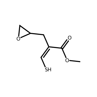 COC(=O)C(=CS)CC1CO1